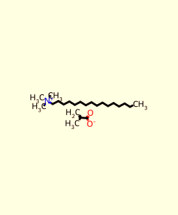 C=C(C)C(=O)[O-].CCCCCCCCCCCCCCCC[N+](C)(C)C